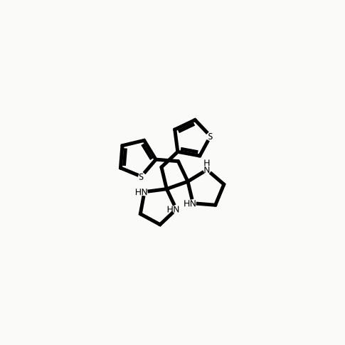 c1csc(CC2(C3(Cc4ccsc4)NCCN3)NCCN2)c1